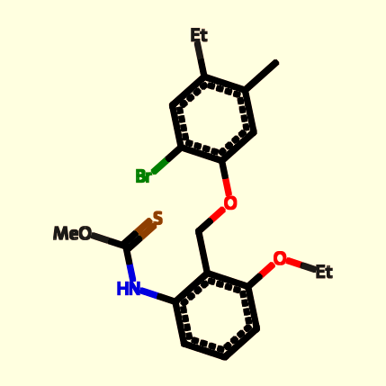 CCOc1cccc(NC(=S)OC)c1COc1cc(C)c(CC)cc1Br